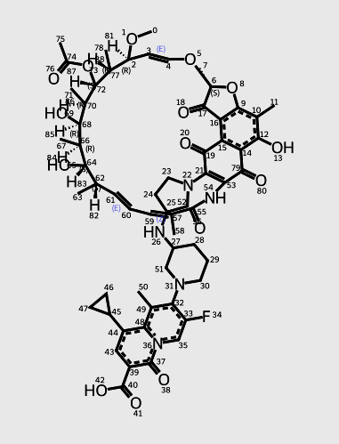 CO[C@H]1/C=C/O[C@@]2(C)Oc3c(C)c(O)c4c(c3C2=O)C(=O)C(N2CCC(NC3CCCN(c5c(F)cn6c(=O)c(C(=O)O)cc(C7CC7)c6c5C)C3)C2)=C(NC(=O)/C(C)=C\C=C\[C@H](C)[C@H](O)[C@@H](C)[C@@H](O)[C@@H](C)[C@H](OC(C)=O)[C@@H]1C)C4=O